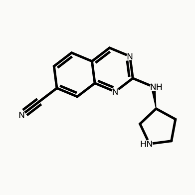 N#Cc1ccc2cnc(N[C@H]3CCNC3)nc2c1